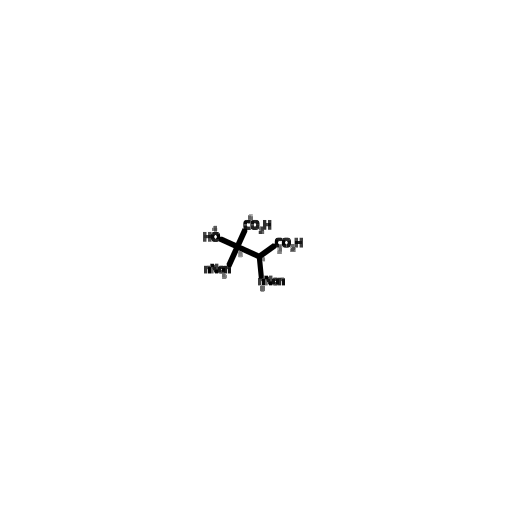 CCCCCCCCCC(C(=O)O)C(O)(CCCCCCCCC)C(=O)O